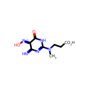 CN(CCC(=O)O)C1=NC(=N)/C(=N\O)C(=O)N1